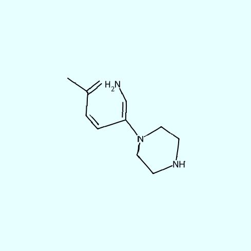 C=C(C)/C=C\C(=C/N)N1CCNCC1